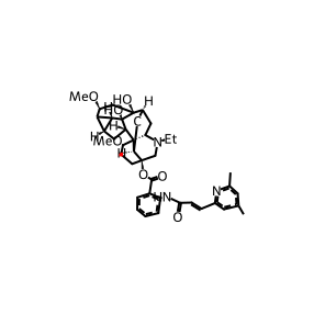 CCN1C[C@]2(OC(=O)c3ccccc3NC(=O)/C=C/c3cc(C)cc(C)n3)CC[C@H](OC)[C@]34C1C[C@@H](C[C@H]23)[C@@]1(O)C[C@H](OC)C2[C@H]3C[C@@H]4[C@]1(O)[C@@H]23